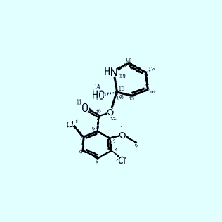 COc1c(Cl)ccc(Cl)c1C(=O)O[C@]1(O)C=CC=CN1